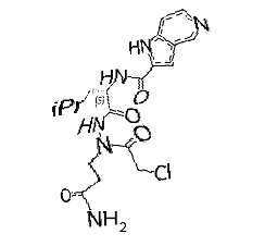 CC(C)C[C@H](NC(=O)c1cc2cnccc2[nH]1)C(=O)NN(CCC(N)=O)C(=O)CCl